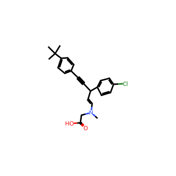 CN(C=CC(C#Cc1ccc(C(C)(C)C)cc1)c1ccc(Cl)cc1)CC(=O)O